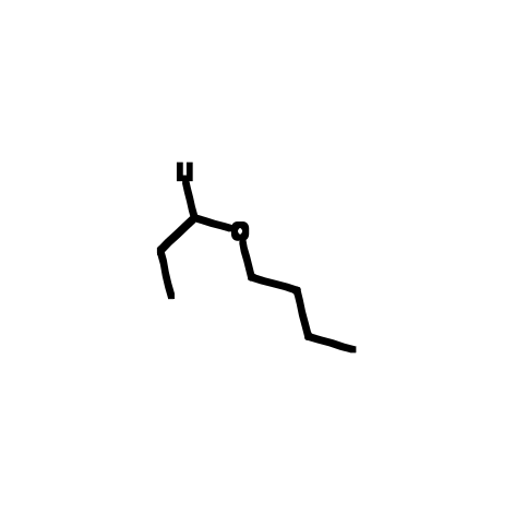 [Li][CH](CC)OCCCC